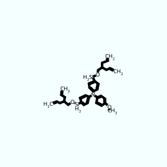 C=CCC(CC=C)CO[SiH2]c1ccc(N(c2ccc(OC)cc2)c2ccc([SiH2]OCC(CC=C)CC=C)cc2)cc1